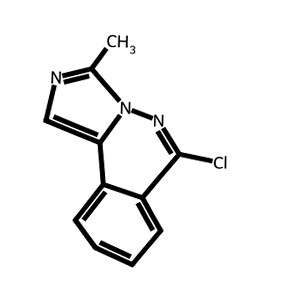 Cc1ncc2c3ccccc3c(Cl)nn12